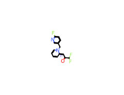 O=C(/C=C1\C=CC=CN1Cc1ccc(F)nc1)C(F)F